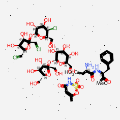 CC1=CC(=O)NS(=O)(=O)O1.COC(=O)[C@H](Cc1ccccc1)NC(=O)[C@@H](N)CC(=O)O.OC[C@H]1O[C@@](CO)(O[C@H]2O[C@H](CO)[C@@H](O)[C@H](O)[C@H]2O)[C@@H](O)[C@@H]1O.OC[C@H]1O[C@H](O[C@]2(CCl)O[C@H](CCl)[C@@H](O)[C@@H]2O)[C@H](O)[C@@H](O)[C@H]1Cl